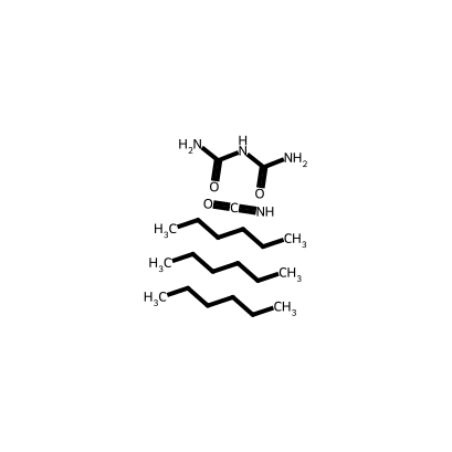 CCCCCC.CCCCCC.CCCCCC.N=C=O.NC(=O)NC(N)=O